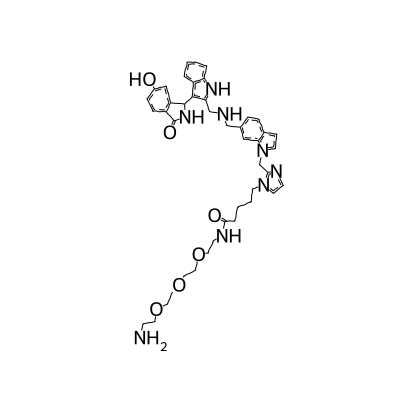 NCCOCCOCCOCCNC(=O)CCCCn1ccnc1Cn1ccc2ccc(CNCc3[nH]c4ccccc4c3C3NC(=O)c4ccc(O)cc43)cc21